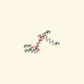 CC(C)CCCCCCCC(C)(CCC(C)C)C(=O)OCCCCOC(=O)C(C)(CCCC(C)C)CCC(C)C